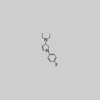 CCN(CC)C1C=CN(c2ccc(F)cc2)C1